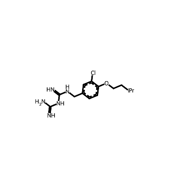 CC(C)CCOc1ccc(CNC(=N)NC(=N)N)cc1Cl